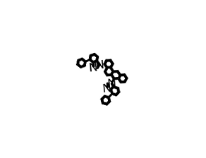 c1ccc(-c2cccc3c2ncn3-c2cccc3c2ccc2c(-n4cnc5c(-c6ccccc6)cccc54)c4ccccc4cc23)cc1